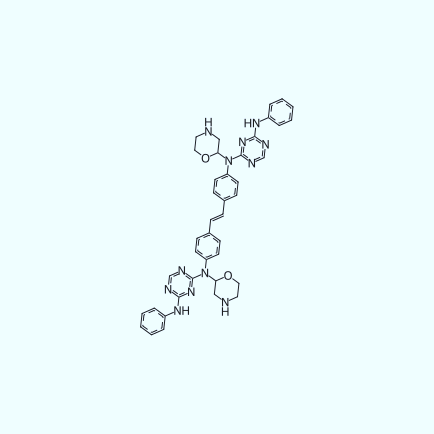 C(=Cc1ccc(N(c2ncnc(Nc3ccccc3)n2)C2CNCCO2)cc1)c1ccc(N(c2ncnc(Nc3ccccc3)n2)C2CNCCO2)cc1